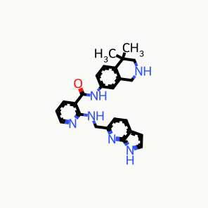 CC1(C)CNCc2cc(NC(=O)c3cccnc3NCc3ccc4cc[nH]c4n3)ccc21